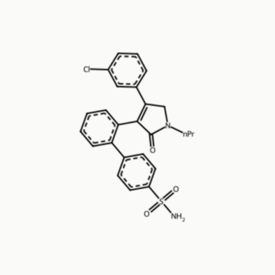 CCCN1CC(c2cccc(Cl)c2)=C(c2ccccc2-c2ccc(S(N)(=O)=O)cc2)C1=O